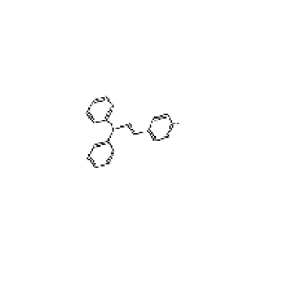 [c]1ccc(C=CC(c2ccccc2)c2ccccc2)cc1